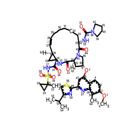 COc1ccc2c(O[C@@H]3C[C@H]4C(=O)N[C@]5(C(=O)NS(=O)(=O)C6(C)CC6)C[C@H]5/C=C\CCCCC[C@H](NC(=O)N5CCCC5)C(=O)N4C3)cc(-c3nc(C(C)C)cs3)nc2c1C